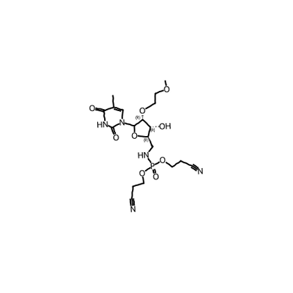 COCCO[C@H]1C(n2cc(C)c(=O)[nH]c2=O)O[C@H](CNP(=O)(OCCC#N)OCCC#N)[C@H]1O